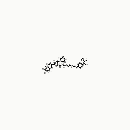 CC(=O)N(C)c1ccc(CCOCCCCCCN(Cc2ccccc2)CC(O)c2ccc3c(c2)COC(C)(C)O3)cc1